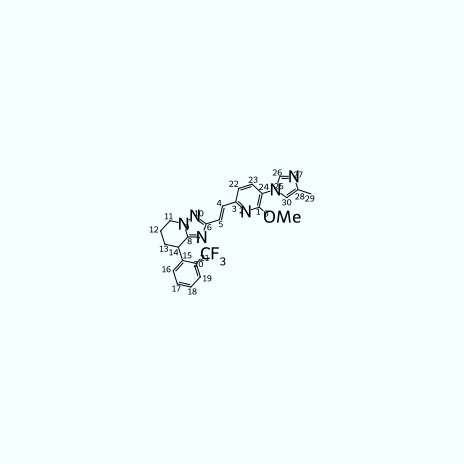 COc1nc(/C=C/c2nc3n(n2)CCCC3c2ccccc2C(F)(F)F)ccc1-n1cnc(C)c1